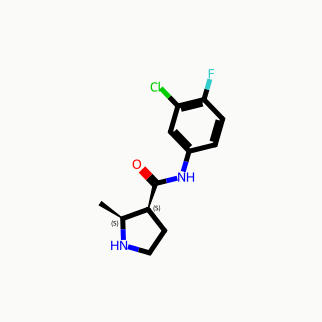 C[C@@H]1NCC[C@@H]1C(=O)Nc1ccc(F)c(Cl)c1